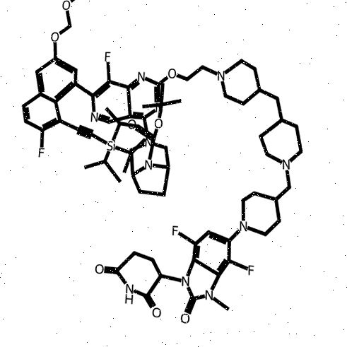 COCOc1cc(-c2ncc3c(N4CC5CCC(C4)N5C(=O)OC(C)(C)C)nc(OCCN4CCC(CC5CCN(CC6CCN(c7cc(F)c8c(c7F)n(C)c(=O)n8C7CCC(=O)NC7=O)CC6)CC5)CC4)nc3c2F)c2c(C#C[Si](C(C)C)(C(C)C)C(C)C)c(F)ccc2c1